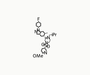 COc1ccc(S(=O)(=O)N2CCN(CC(C)C)[C@@H](c3cc4cnn(-c5ccc(F)cc5)c4cc3C)C2)cn1